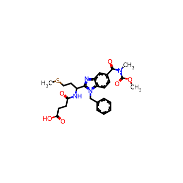 COC(=O)N(C)C(=O)c1ccc2c(c1)nc(C(CCSC)NC(=O)CCC(=O)O)n2Cc1ccccc1